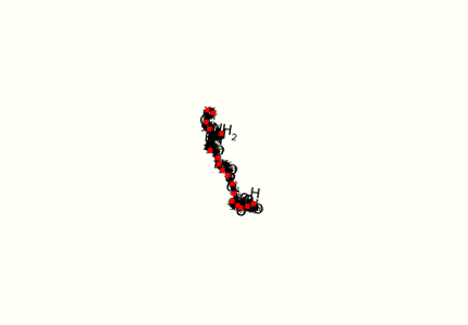 Nc1ncnc2c1c(-c1ccc(Oc3ccccc3)cc1)nn2[C@@H]1CCCN(C(=O)CCCN2CCN(C(=O)COCCOCCSc3cccc4c3C(=O)N(C3CCC(=O)NC3=O)C4=O)CC2)C1